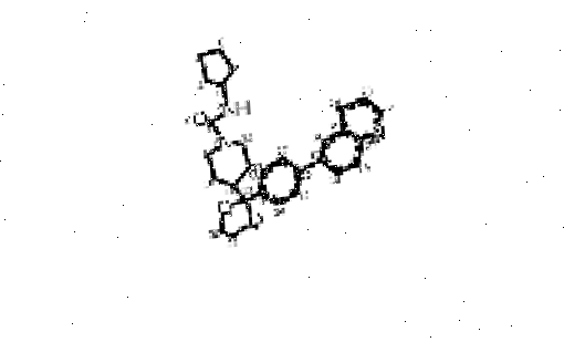 O=C(NC1CCCC1)N1CCC(C2(c3ccc(-c4ccc5ncccc5c4)cc3)OCCO2)CC1